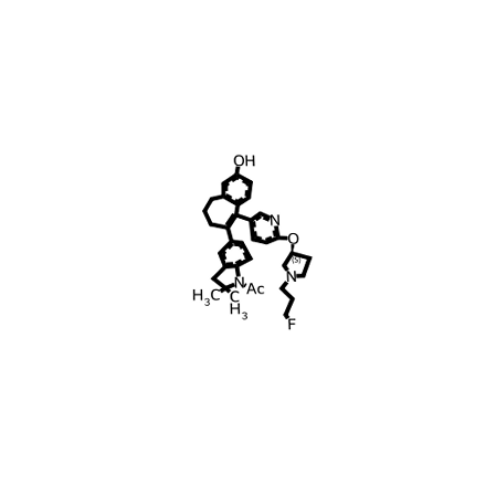 CC(=O)N1c2ccc(C3=C(c4ccc(O[C@H]5CCN(CCCF)C5)nc4)c4ccc(O)cc4CCC3)cc2CC1(C)C